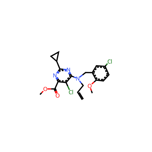 C=CCN(Cc1cc(Cl)ccc1OC)c1nc(C2CC2)nc(C(=O)OC)c1Cl